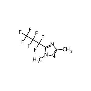 Cc1nc(C(F)(F)C(F)(F)C(F)(F)F)n(C)n1